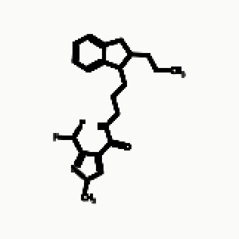 CCCC1Cc2ccccc2C1CCCNC(=O)c1cn(C)nc1C(F)F